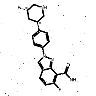 NC(=O)c1c(F)ccc2cn(-c3ccc([C@@H]4CNC[C@@H](F)C4)cc3)nc12